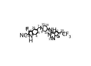 N#Cc1[nH]c2ccc(CN3CCC(Nc4ncnc5sc(CC(F)(F)F)cc45)CC3)cc2c1F